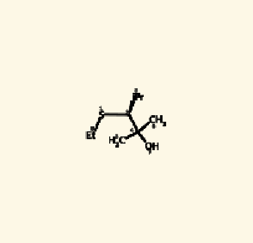 CCS[C@@H](C(C)C)C(C)(C)O